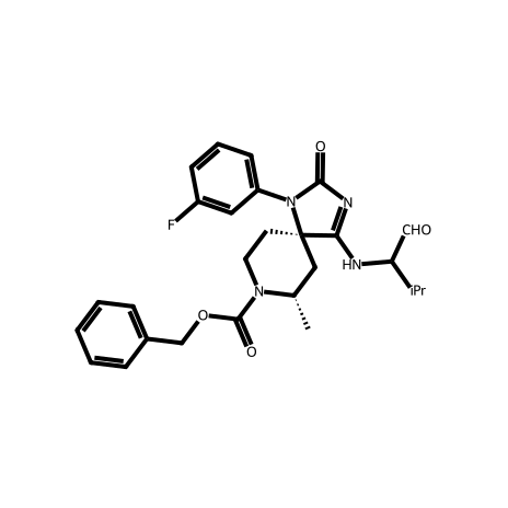 CC(C)C(C=O)NC1=NC(=O)N(c2cccc(F)c2)[C@@]12CCN(C(=O)OCc1ccccc1)[C@@H](C)C2